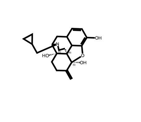 C=C1CC[C@@]2(O)C3CC4C=CC(O)=C5O[C@]1(O)[C@]2(CCN3CC1CC1)C54